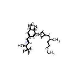 COCCN(C)CC1CN(c2cc(/C=C/C(O)C(F)(F)F)cc3nonc23)C1